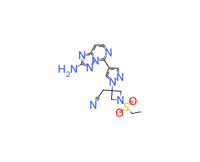 CCS(=O)(=O)N1CC(CC#N)(n2cc(-c3nccc4nc(N)nn34)cn2)C1